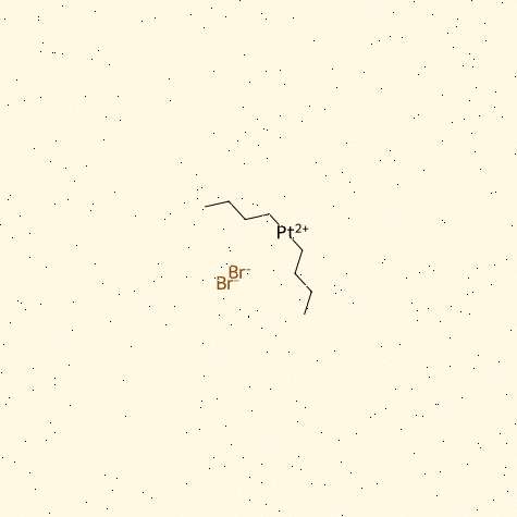 CCC[CH2][Pt+2][CH2]CCC.[Br-].[Br-]